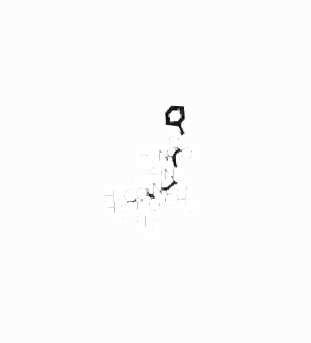 C[C@H](NC(=O)OC(C)(C)C)C(=O)NC[C@H](N)C(=O)OCc1ccccc1